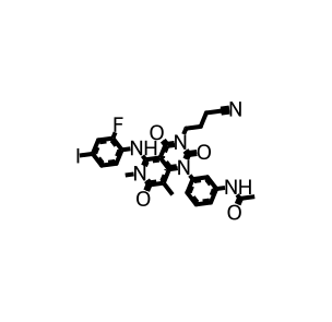 CC(=O)Nc1cccc(-n2c(=O)n(CCCC#N)c(=O)c3c(Nc4ccc(I)cc4F)n(C)c(=O)c(C)c32)c1